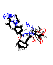 CC(C)C1CNCCN1c1ccc(C(=O)N[C@H](C(=O)N2C[C@H](N)[C@H]3OCC(=O)[C@H]32)C2CCCCC2)cc1